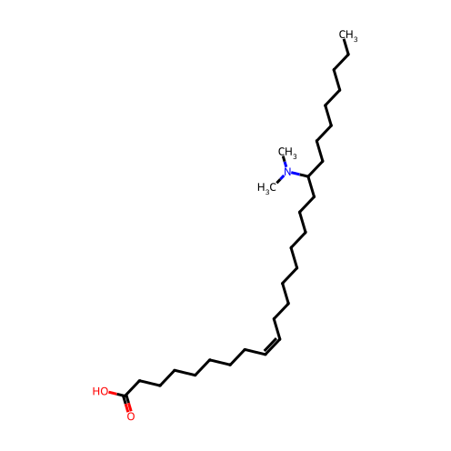 CCCCCCCCC(CCCCCCCC/C=C\CCCCCCCC(=O)O)N(C)C